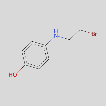 Oc1ccc(NCCBr)cc1